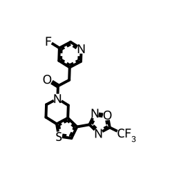 O=C(Cc1cncc(F)c1)N1CCc2scc(-c3noc(C(F)(F)F)n3)c2C1